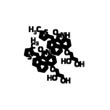 Cc1ccc(CC2(C3C(=O)Nc4ccc(OCC(O)CO)cc43)C=Cc3ccccc32)s1.Cc1ccsc1CC1(C2C(=O)Nc3ccc(OCC(O)CO)cc32)C=Cc2ccccc21